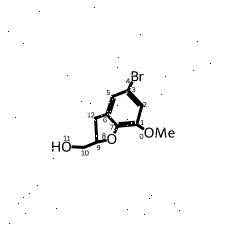 COc1cc(Br)cc2c1OC(CO)C2